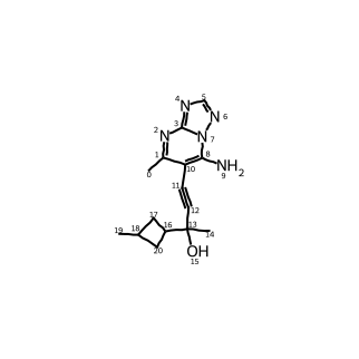 Cc1nc2ncnn2c(N)c1C#CC(C)(O)C1CC(C)C1